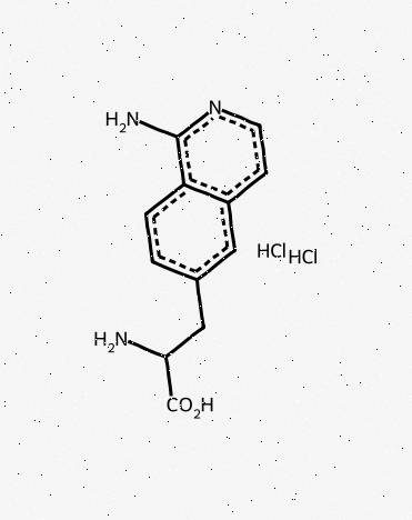 Cl.Cl.Nc1nccc2cc(CC(N)C(=O)O)ccc12